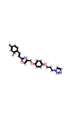 Cc1ccc(/C=C/c2nc(COc3ccc(OCCCn4ccnn4)cc3)co2)c(F)c1